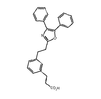 O=C(O)CCc1cccc(CCc2nc(-c3ccccc3)c(-c3ccccc3)o2)c1